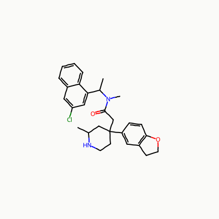 CC1CC(CC(=O)N(C)C(C)c2cc(Cl)cc3ccccc23)(c2ccc3c(c2)CCO3)CCN1